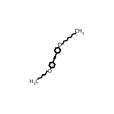 CCCC=CCOc1ccc(C#Cc2ccc(OCCCCCCCC)cc2)cc1